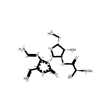 CC(=O)N[C@H](C(=O)O[C@@H]1[C@@H](O)[C@@H](CO)O[C@H]1n1c(/N=C/N)c(C=N)sc1=O)C(C)C